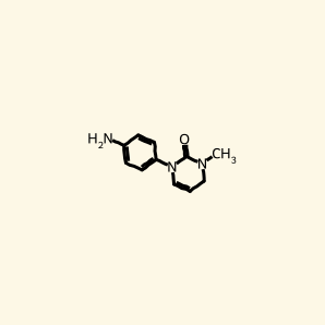 CN1CC=CN(c2ccc(N)cc2)C1=O